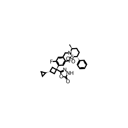 C[C@H]1CC[C@H](c2ccccc2)S(=O)(=O)N1Cc1cc(F)c([C@]2(c3n[nH]c(=O)o3)C[C@@H](C3CC3)C2)cc1F